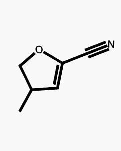 CC1C=C(C#N)OC1